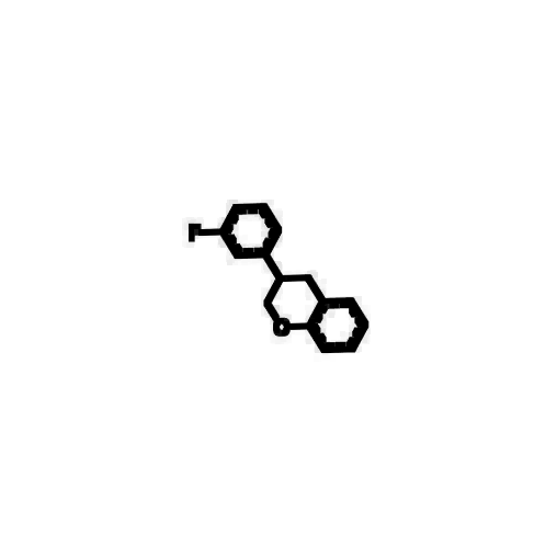 Fc1cccc(C2COc3ccccc3C2)c1